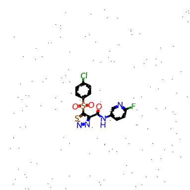 O=C(Nc1ccc(F)nc1)c1nnsc1S(=O)(=O)c1ccc(Cl)cc1